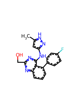 Cc1cc(Nc2nc(CO)nc3cccc(-c4ccc(F)cc4)c23)n[nH]1